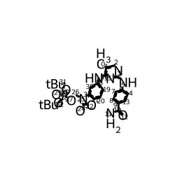 Cc1cnc(Nc2ccc(C(N)=O)cc2)nc1Nc1ccc2oc(=O)n(COP(=O)(OC(C)(C)C)OC(C)(C)C)c2c1